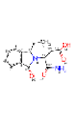 CCC1c2ccccc2C(=O)N1C(CC(=O)O)C(N)=O